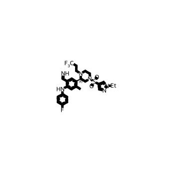 CCn1cc(S(=O)(=O)N2CCN(CCC(F)(F)F)[C@H](c3cc(C=N)c(Nc4ccc(F)cc4)cc3C)C2)cn1